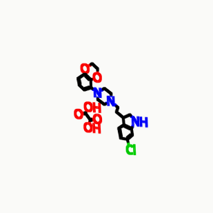 Clc1ccc2c(c1)NCC2CCN1CCN(c2cccc3c2OCCO3)CC1.O=C(O)C(=O)O